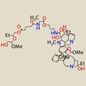 CCC(COC(=O)CCCC(=O)N[C@H](C)C(=O)OCCCNC(=O)[C@]1(O)C2N(C)c3cc(OC)c([C@@]4(C(=O)OC)CC5C[N@](CCC6=C4Cc4ccccc46)CC(O)(CC)C5)cc3[C@@]23CCN2CC=C[C@](CC)(C23)[C@H]1O)OC(CO)OC